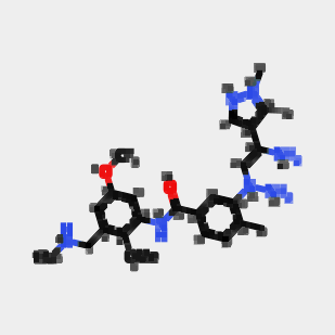 COc1c(CNC(C)(C)C)cc(OC(F)(F)F)cc1NC(=O)c1ccc(C)c(N(N)/C=C(\N)c2cnn(C)c2C)c1